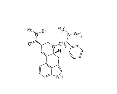 CCN(CC)C(=O)[C@@H]1C=C2c3cccc4[nH]cc(c34)C[C@H]2N(C)C1.CN(N)Cc1ccccc1